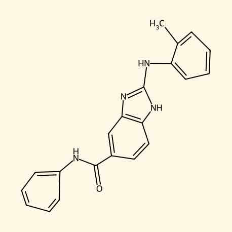 Cc1ccccc1Nc1nc2cc(C(=O)Nc3ccccc3)ccc2[nH]1